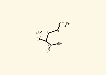 CCOC(=O)CCC(CC)N(S)S.[Cd]